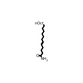 CCCCCCCCCCCCCCC=CCCCC(N)=O